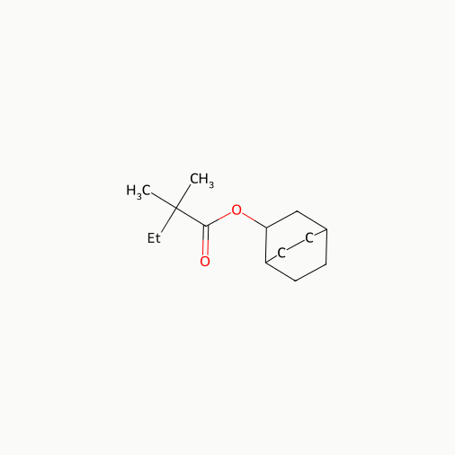 CCC(C)(C)C(=O)OC1CC2CCC1CC2